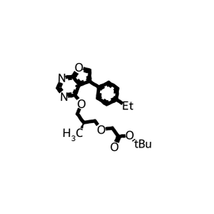 CCc1ccc(-c2coc3ncnc(OC[C@H](C)COCC(=O)OC(C)(C)C)c23)cc1